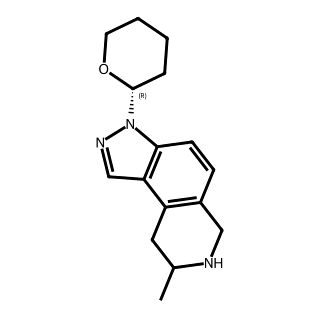 CC1Cc2c(ccc3c2cnn3[C@H]2CCCCO2)CN1